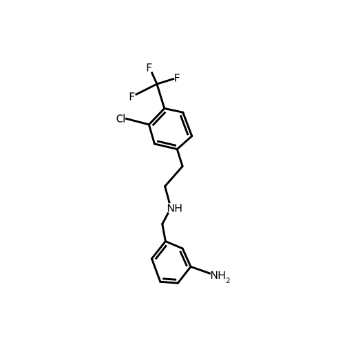 Nc1cccc(CNCCc2ccc(C(F)(F)F)c(Cl)c2)c1